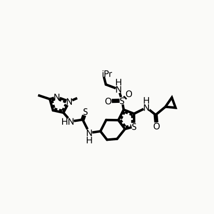 Cc1cc(NC(=S)NC2CCc3sc(NC(=O)C4CC4)c(S(=O)(=O)NCC(C)C)c3C2)n(C)n1